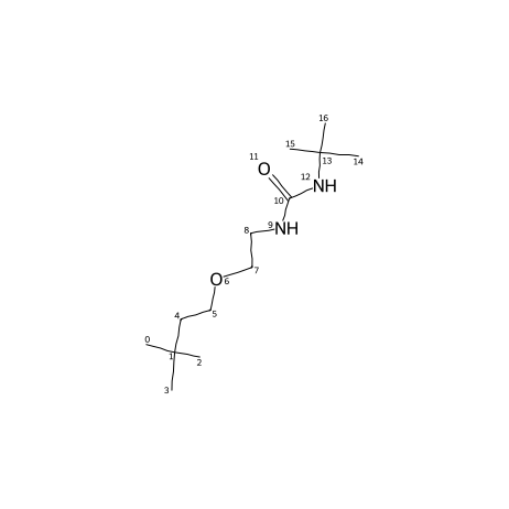 CC(C)(C)CCOCCNC(=O)NC(C)(C)C